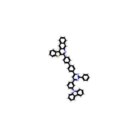 c1ccc(-c2nc(-c3ccc(-c4ccc(-c5nc6cc7ccccc7cc6c6c5sc5ccccc56)cc4)cc3)cc(-c3cccc(-n4c5ccccc5c5ccccc54)c3)n2)cc1